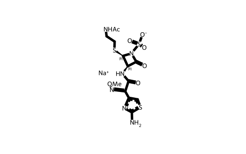 CON=C(C(=O)N[C@@H]1C(=O)N(S(=O)(=O)[O-])[C@@H]1SCCNC(C)=O)c1csc(N)n1.[Na+]